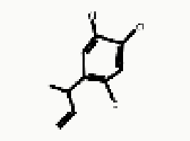 [CH2]C(C=C)c1cc(Cl)c(Cl)cc1Cl